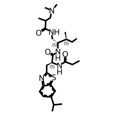 CCC(=O)N[C@@H](Cc1nc2ccc(C(C)C)cc2s1)C(=O)N[C@H](CNC(=O)C(C)CN(C)C)[C@@H](C)CC